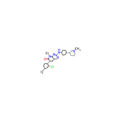 CCn1c(=O)c(-c2ccc(C3CC3)cc2Cl)cc2cnc(Nc3ccc(C4CCCN(C)C4)cc3)nc21